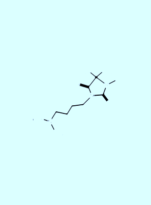 CCCCCCN(C)CCCCN1C(=O)N(Cl)C(C)(C)C1=O